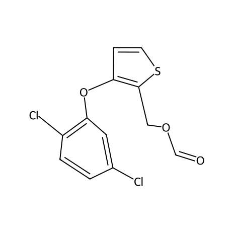 O=COCc1sccc1Oc1cc(Cl)ccc1Cl